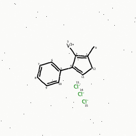 CC1=[C]([V+3])C(c2ccccc2)=CC1.[Cl-].[Cl-].[Cl-]